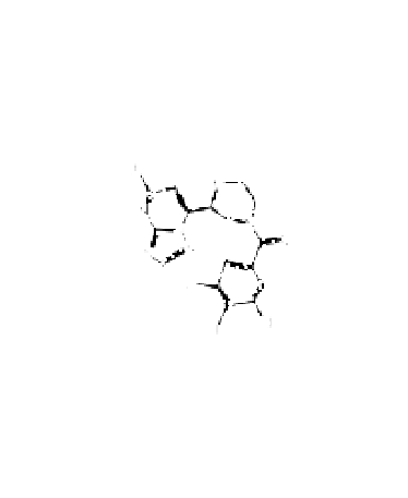 Cc1cc(C2CN(C(=O)c3cc(Cl)c(Cl)c(Cl)c3)CCO2)n2ncnc2n1